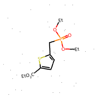 CCOC(=O)c1ccc(CP(=O)(OCC)OCC)s1